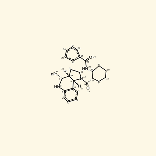 CCC[C@H]1Nc2ccccc2[C@@H]2[C@H]1CCN2C(=O)[C@H]1CCCC[C@H]1NC(=O)c1ccccc1